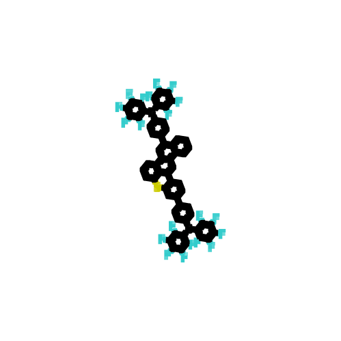 Fc1c(F)c(F)c(B(c2ccc(-c3ccc4c(c3)Sc3cccc5c3c-4cc3c4ccccc4c(-c4ccc(B(c6c(F)c(F)c(F)c(F)c6F)c6c(F)c(F)c(F)c(F)c6F)cc4)cc53)cc2)c2c(F)c(F)c(F)c(F)c2F)c(F)c1F